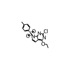 CCOc1nc(Cl)nc2c1ccn2S(=O)(=O)c1ccc(C)cc1